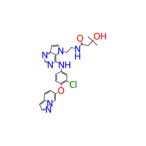 CC(C)(O)CC(=O)NCCn1ccc2ncnc(Nc3ccc(Oc4ccc5ccnn5c4)c(Cl)c3)c21